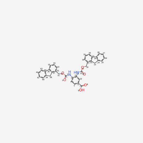 O=C(Nc1ccc(C(=O)O)cc1NC(=O)OCc1cccc2c1Cc1ccccc1-2)OCc1cccc2c1Cc1ccccc1-2